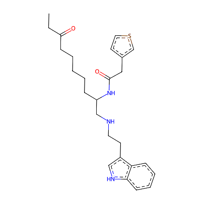 CCC(=O)CCCCCC(CNCCc1c[nH]c2ccccc12)NC(=O)Cc1ccsc1